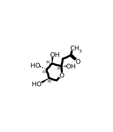 CC(=O)C[C@@]1(O)OC[C@@H](O)[C@H](O)[C@H]1O